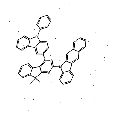 CC1(C)c2ccccc2-c2c(-c3ccc4c(c3)c3ccccc3n4-c3ccccc3)nc(-n3c4ccccc4c4cc5ccccc5cc43)nc21